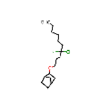 O=[C]CCCCCC(Cl)(Cl)CCCOC1CC2[CH]CC1C2